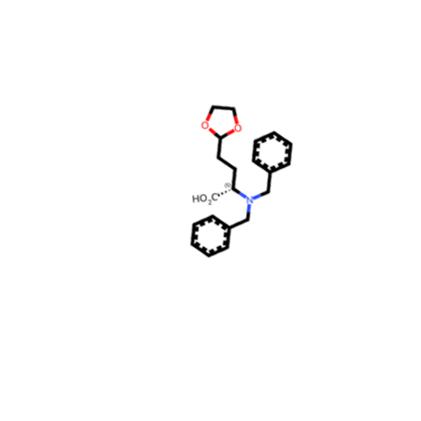 O=C(O)[C@H](CCC1OCCO1)N(Cc1ccccc1)Cc1ccccc1